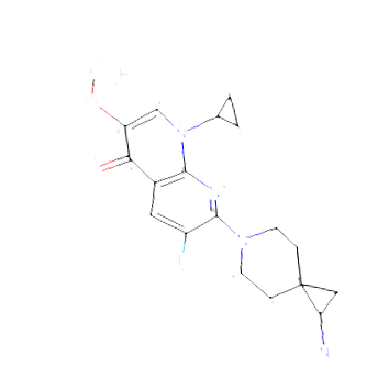 NC1CC12CCN(c1nc3c(cc1F)c(=O)c(OC(=O)O)cn3C1CC1)CC2